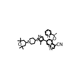 Cc1c(-c2cc(O[C@H](C)c3ccccn3)c3c(C#N)cnn3c2)cnn1C1CCN(C2CC(C)(C)OC(C)(C)C2)CC1